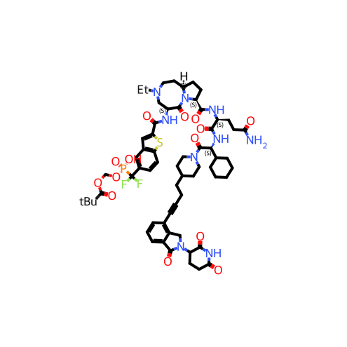 CCN1CC[C@H]2CC[C@@H](C(=O)N[C@@H](CCC(N)=O)C(=O)N[C@H](C(=O)N3CCC(CCC#Cc4cccc5c4CN(C4CCC(=O)NC4=O)C5=O)CC3)C3CCCCC3)N2C(=O)[C@@H](NC(=O)c2cc3cc(C(F)(F)P(=O)(O)OCOC(=O)C(C)(C)C)ccc3s2)C1